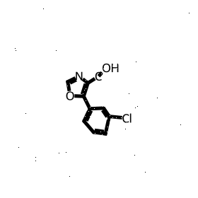 OCc1ncoc1-c1cccc(Cl)c1